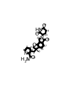 C[C@@]1(Cc2cccnc2C(N)=O)COc2c1ccc1c2CN(C2CCC(=O)NC2=O)C1=O